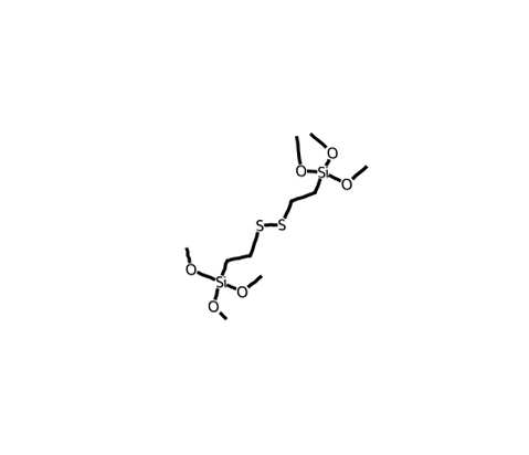 CO[Si](CCSSCC[Si](OC)(OC)OC)(OC)OC